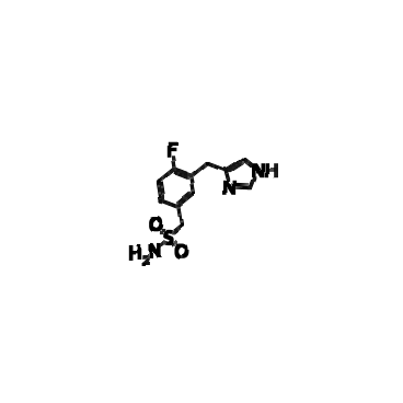 NS(=O)(=O)Cc1ccc(F)c(Cc2c[nH]cn2)c1